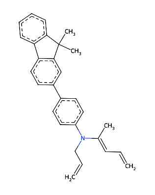 C=C/C=C(\C)N(CC=C)c1ccc(-c2ccc3c(c2)C(C)(C)c2ccccc2-3)cc1